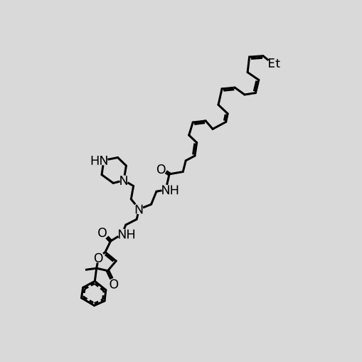 CC/C=C\C/C=C\C/C=C\C/C=C\C/C=C\C/C=C\CCC(=O)NCCN(CCNC(=O)C1=CC(=O)C(C)(c2ccccc2)O1)CCN1CCNCC1